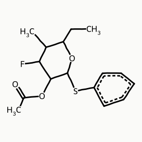 CCC1OC(Sc2ccccc2)C(OC(C)=O)C(F)C1C